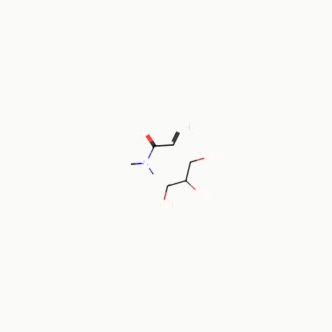 C=CC(=O)N(C)C.OCC(O)CO